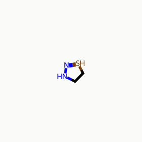 C1C[SH]=NN1